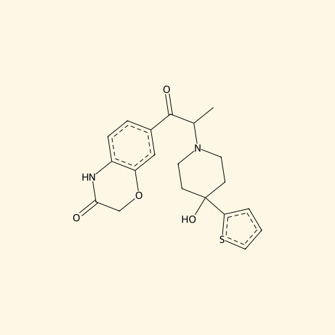 CC(C(=O)c1ccc2c(c1)OCC(=O)N2)N1CCC(O)(c2cccs2)CC1